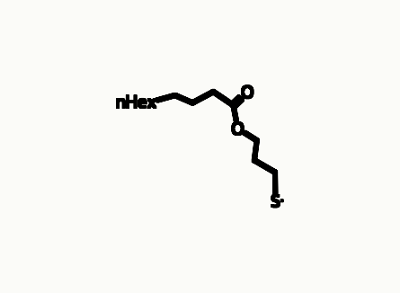 CCCCCCCCCC(=O)OCCC[S]